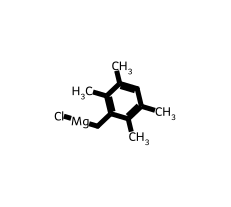 Cc1cc(C)c(C)c([CH2][Mg][Cl])c1C